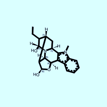 CCC1[C@@H]2C[C@H]3c4c(c5ccccc5n4C)[C@H]4O[C@@H](O)C2[C@H]4N3[C@@H]1O